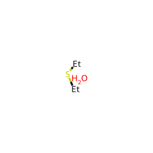 CCSCC.O